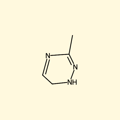 CC1=NNCC=N1